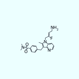 Cc1c(Cc2ccc(S(=O)(=O)N(C)C)cc2)c2ncccc2n1C/C(F)=C/CN